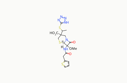 COC1(NC(=O)Cc2cccs2)C(=O)N2CC(C(=O)O)(C(C)Sc3nnn[nH]3)CS[C@@H]21